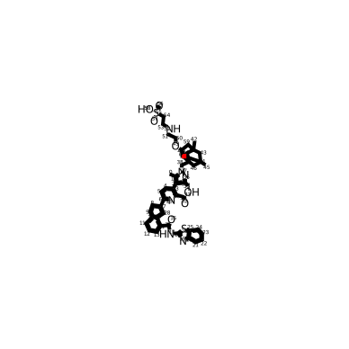 Cc1c(-c2ccc(-c3ccc4cccc(C(=O)Nc5nc6ccccc6s5)c4c3)nc2C(=O)O)c(I)nn1CC12CC3(C)CC(C)(C1)CC(OCCNCCS(=O)(=O)O)(C3)C2